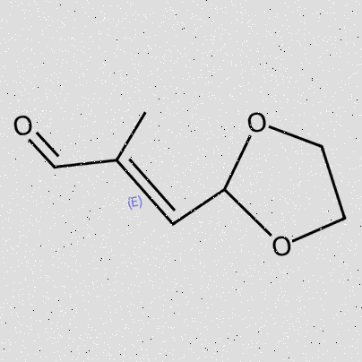 C/C(C=O)=C\C1OCCO1